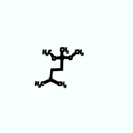 CO[Si](C)(CCN(C)C)OC